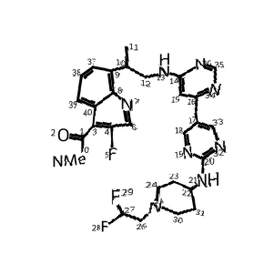 CNC(=O)c1c(F)cnc2c(C(C)CNc3cc(-c4cnc(NC5CCN(CC(F)F)CC5)nc4)ncn3)cccc12